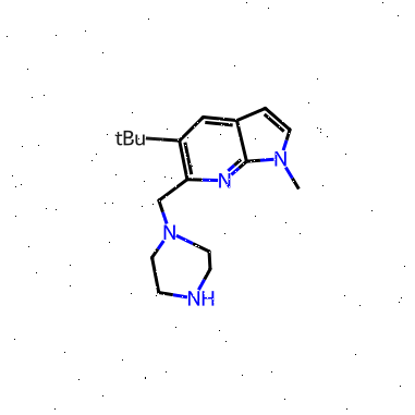 Cn1ccc2cc(C(C)(C)C)c(CN3CCNCC3)nc21